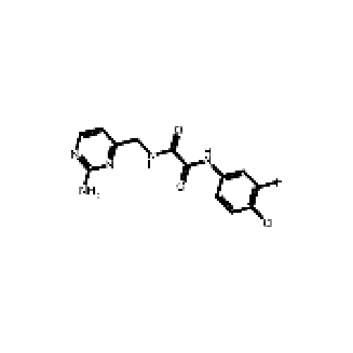 Nc1nccc(CNC(=O)C(=O)Nc2ccc(Cl)c(F)c2)n1